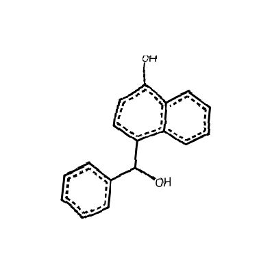 Oc1ccc(C(O)c2ccccc2)c2ccccc12